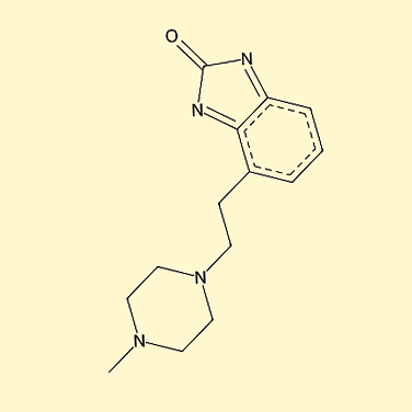 CN1CCN(CCc2cccc3c2=NC(=O)N=3)CC1